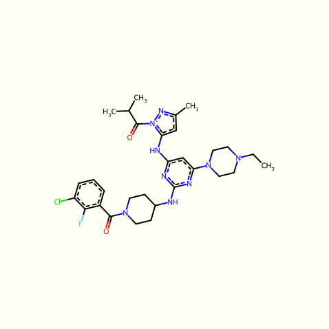 CCN1CCN(c2cc(Nc3cc(C)nn3C(=O)C(C)C)nc(NC3CCN(C(=O)c4cccc(Cl)c4F)CC3)n2)CC1